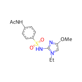 CCn1cc(OC)nc1NS(=O)(=O)c1ccc(NC(C)=O)cc1